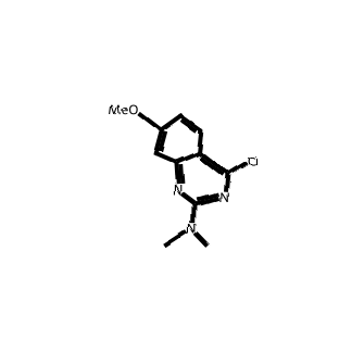 COc1ccc2c(Cl)nc(N(C)C)nc2c1